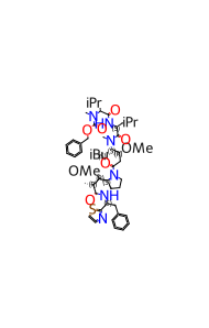 CC[C@H](C)[C@@H]([C@@H](CC(=O)N1CCC[C@H]1[C@H](OC)[C@@H](C)C(=O)N[C@@H](Cc1ccccc1)c1nccs1)OC)N(C)C(=O)[C@@H](NC(=O)C(C(C)C)N(C)C(=O)OCc1ccccc1)C(C)C